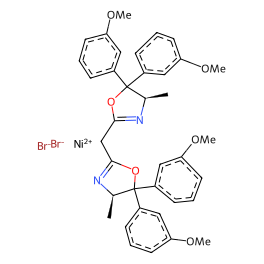 COc1cccc(C2(c3cccc(OC)c3)OC(CC3=N[C@H](C)C(c4cccc(OC)c4)(c4cccc(OC)c4)O3)=N[C@@H]2C)c1.[Br-].[Br-].[Ni+2]